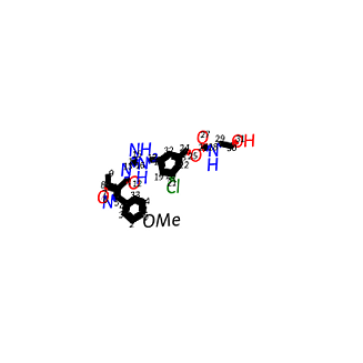 COc1ccc(-c2noc(C)c2C(=O)/N=C(/N)NCc2cc(Cl)cc(COC(=O)NCCO)c2)cc1